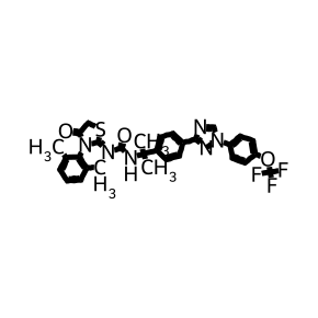 Cc1cccc(C)c1N1C(=O)CS/C1=N\C(=O)NC(C)(C)c1ccc(-c2ncn(-c3ccc(OC(F)(F)F)cc3)n2)cc1